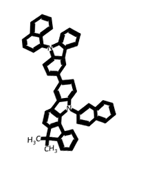 CC1(C)c2ccccc2-c2c1ccc1c3cc(-c4ccc5c(c4)c4ccccc4n5-c4cccc5ccccc45)ccc3n(-c3ccc4ccccc4c3)c21